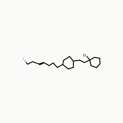 CCC1(CCC2CCC(CCCC=CCCF)CC2)CCCCC1